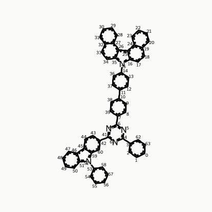 c1ccc(-c2nc(-c3ccc(-c4ccc(-n5c6ccc7ccccc7c6c6c7ccccc7ccc65)cc4)cc3)nc(-c3ccc4c5ccccc5n(-c5ccccc5)c4c3)n2)cc1